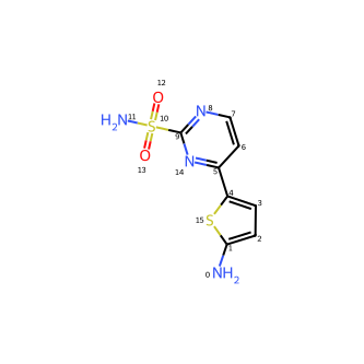 Nc1ccc(-c2ccnc(S(N)(=O)=O)n2)s1